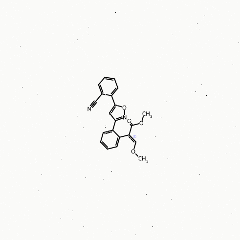 CO/C=C(/C(=O)OC)c1ccccc1-c1cc(-c2ccccc2C#N)on1